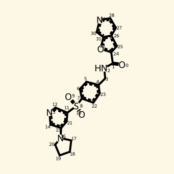 O=C(NCc1ccc(S(=O)(=O)c2cncc(N3CCCC3)c2)cc1)c1cc2ccncc2o1